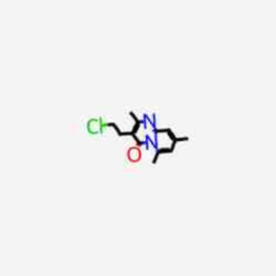 Cc1cc(C)n2c(=O)c(CCCl)c(C)nc2c1